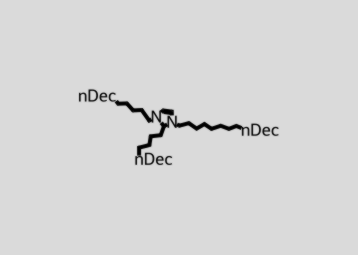 CCCCCCCCCCCCCCCCCCN1C=CN(CCCCCCCCCCCCCCC)C1CCCCCCCCCCCCCC